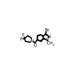 Cn1nc(Br)c2ccc(C(=O)N3CCC(F)(F)CC3)cc21